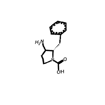 NC1CCN(C(=O)O)[C@H]1Cc1ccccc1